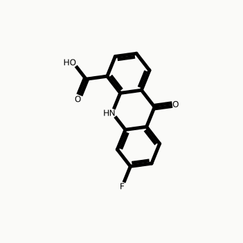 O=C(O)c1cccc2c(=O)c3ccc(F)cc3[nH]c12